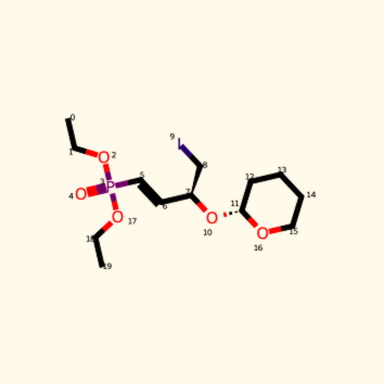 CCOP(=O)(/C=C/[C@@H](CI)O[C@@H]1CCCCO1)OCC